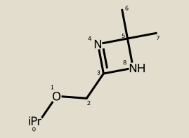 CC(C)OCC1=NC(C)(C)N1